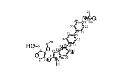 CCO[C@H]1[C@@H](CO)OC[C@H]1Oc1cc2nc(-c3ccc(-c4ccc(N=S(C)(C)=O)cc4)cc3)c(F)cc2[nH]1